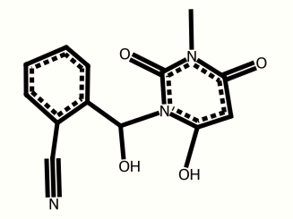 Cn1c(=O)cc(O)n(C(O)c2ccccc2C#N)c1=O